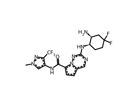 Cn1cc(NC(=O)c2ccc3cnc(N[C@@H]4CCC(F)(F)C[C@@H]4N)nn23)c(C(F)(F)F)n1